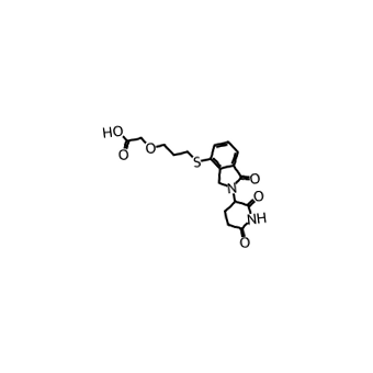 O=C(O)COCCCSc1cccc2c1CN(C1CCC(=O)NC1=O)C2=O